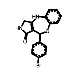 O=C1NCC2=C1C(c1ccc(Br)cc1)Oc1ccccc1N2